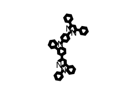 c1ccc(-c2cc(-c3ccccc3)nc(-c3ccc(-n4c5ccccc5c5cc(-c6cnc7c(c6)c6ccccc6n7-c6ccccc6)ccc54)cc3)n2)cc1